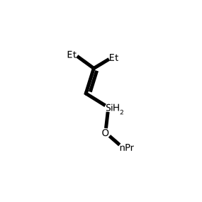 CCCO[SiH2]C=C(CC)CC